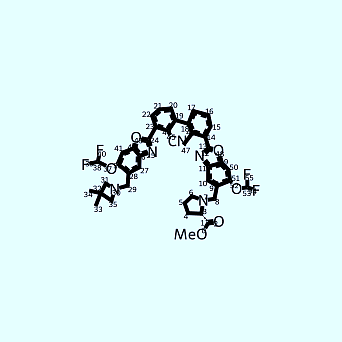 COC(=O)[C@@H]1CCCN1Cc1cc2nc(-c3cccc(-c4cccc(-c5nc6cc(CN7CC(C)(C)C7)c(OC(F)F)cc6o5)c4C#N)c3C)oc2cc1OC(F)F